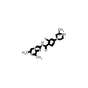 Cc1cn2cc(NC(=O)c3ccc(N4CCN[C@H](C)C4)cc3F)nc2c(C)n1